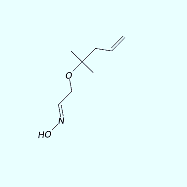 C=CCC(C)(C)OCC=NO